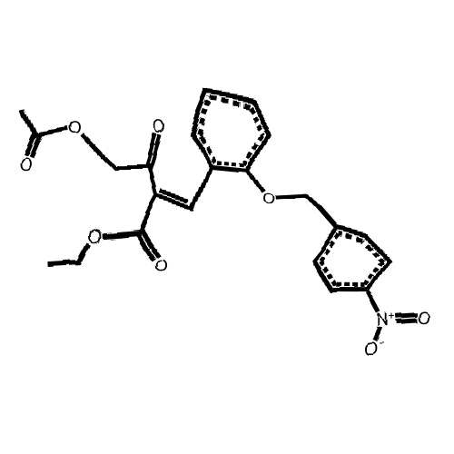 CCOC(=O)/C(=C/c1ccccc1OCc1ccc([N+](=O)[O-])cc1)C(=O)COC(C)=O